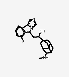 CNC1C2CC3CC1CC(C(O)CC1c4c(F)cccc4-c4cncn41)(C3)C2